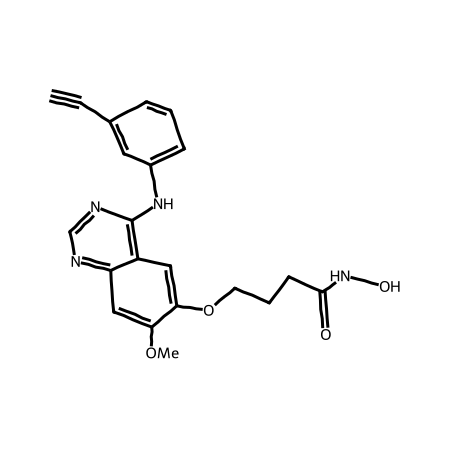 C#Cc1cccc(Nc2ncnc3cc(OC)c(OCCCC(=O)NO)cc23)c1